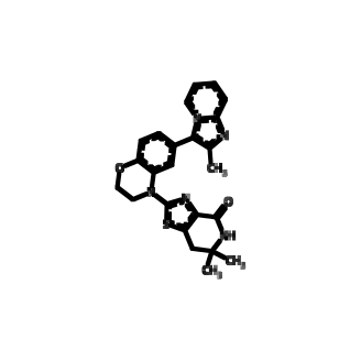 Cc1nc2ccccn2c1-c1ccc2c(c1)N(c1nc3c(s1)CC(C)(C)NC3=O)CCO2